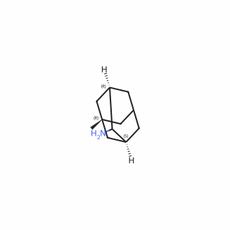 C[C@]12CC3C[C@H](C1)C(N)[C@@H](C3)C2